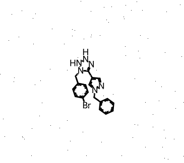 Brc1ccc(CN2NNN=C2c2cnn(Cc3ccccc3)c2)cc1